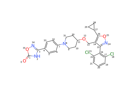 O=c1[nH]c(-c2ccc(N3CCC(OCc4c(-c5c(Cl)cccc5Cl)noc4C4CC4)CC3)cc2)no1